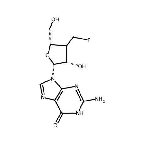 Nc1nc2c(ncn2[C@@H]2O[C@H](CO)C(CF)[C@@H]2O)c(=O)[nH]1